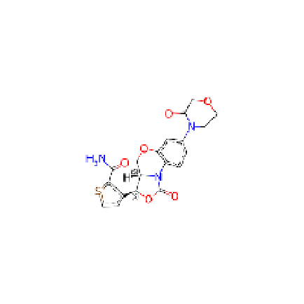 NC(=O)c1sccc1[C@@H]1OC(=O)N2c3ccc(N4CCOCC4=O)cc3OC[C@@H]12